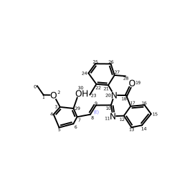 CCOc1cccc(/C=C/c2nc3ccccc3c(=O)n2-c2c(C)cccc2C)c1O